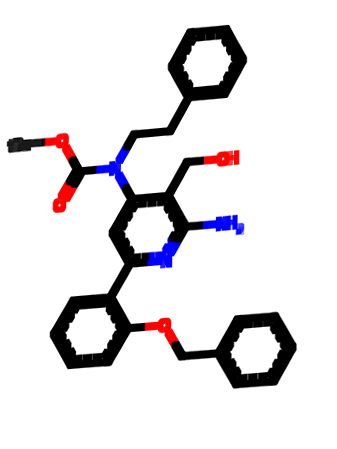 CC(C)(C)OC(=O)N(CCc1ccccc1)c1cc(-c2ccccc2OCc2ccccc2)nc(N)c1CO